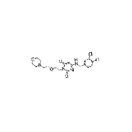 O=c1cc(NCc2ccc(Cl)c(Cl)c2)[nH]c(=O)n1CCOCCN1CCOCC1